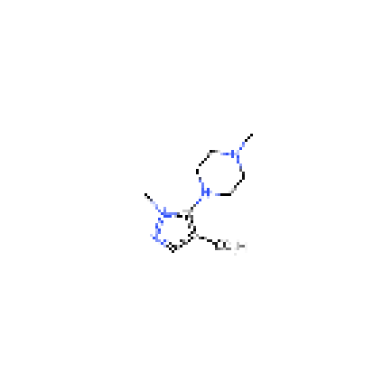 CN1CCN(c2c(C(=O)O)cnn2C)CC1